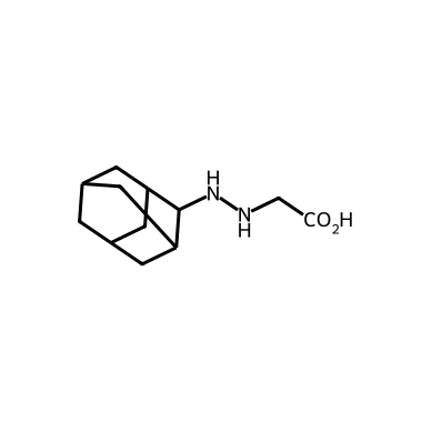 O=C(O)CNNC1C2CC3CC(C2)CC1C3